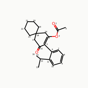 CC(=O)OC1=C(c2ccccc2C(C)C)C(=O)CC2(CCCCC2)C1